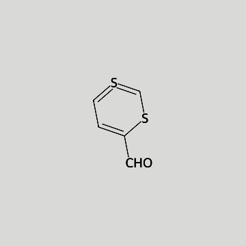 O=CC1=CC=S=CS1